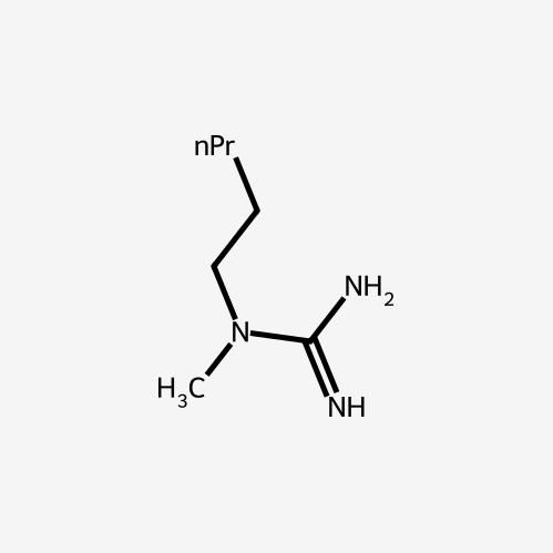 CCCCCN(C)C(=N)N